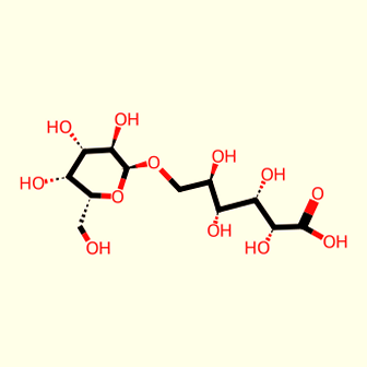 O=C(O)[C@H](O)[C@@H](O)[C@H](O)[C@H](O)CO[C@H]1O[C@H](CO)[C@H](O)[C@H](O)[C@H]1O